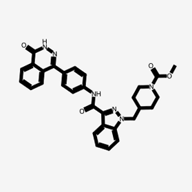 COC(=O)N1CCC(Cn2nc(C(=O)Nc3ccc(-c4n[nH]c(=O)c5ccccc45)cc3)c3ccccc32)CC1